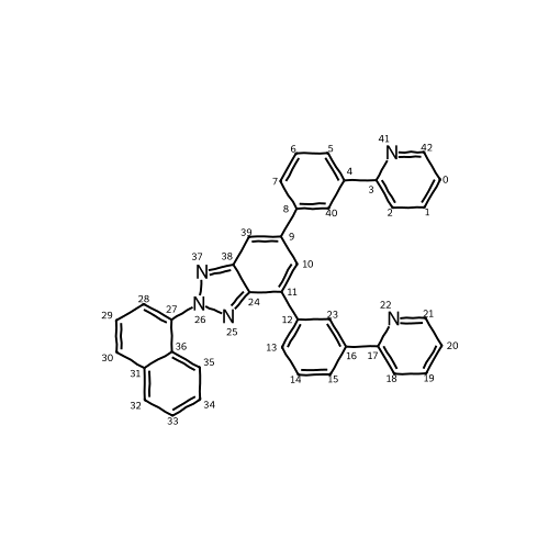 c1ccc(-c2cccc(-c3cc(-c4cccc(-c5ccccn5)c4)c4nn(-c5cccc6ccccc56)nc4c3)c2)nc1